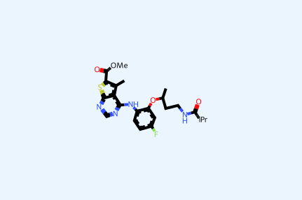 COC(=O)c1sc2ncnc(Nc3ccc(F)cc3OC(C)CCNC(=O)C(C)C)c2c1C